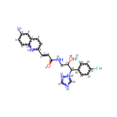 O=C(/C=C/c1ccc2cc(I)ccc2n1)NCC(O)C(c1ccc(F)cc1F)n1cncn1